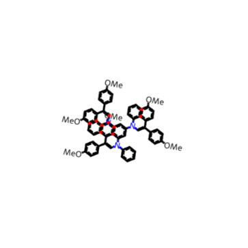 COc1ccc(C(=CN(c2ccccc2)c2cc(N(C=C(c3ccc(OC)cc3)c3ccc(OC)cc3)c3ccccc3)cc(N(C=C(c3ccc(OC)cc3)c3ccc(OC)cc3)c3ccccc3)c2)c2ccc(OC)cc2)cc1